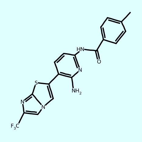 Cc1ccc(C(=O)Nc2ccc(-c3cn4cc(C(F)(F)F)nc4s3)c(N)n2)cc1